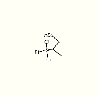 CCCCCC(C)[Si](Cl)(Cl)CC